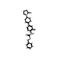 CC1CCCN1C1CC=C(c2ccc(NC(=O)OCc3ccccc3)c(F)c2)CC1